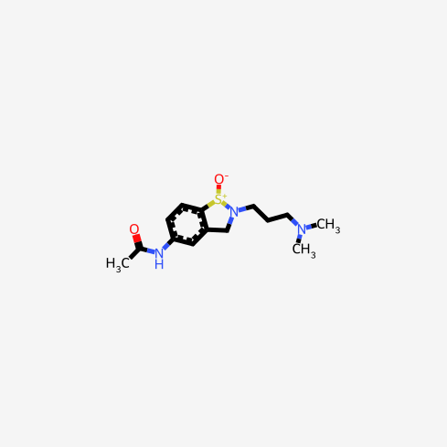 CC(=O)Nc1ccc2c(c1)CN(CCCN(C)C)[S+]2[O-]